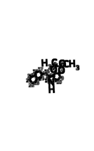 COC(=O)C(C)Oc1cccc2[nH]cc(Cc3ccc4ccccc4c3)c12